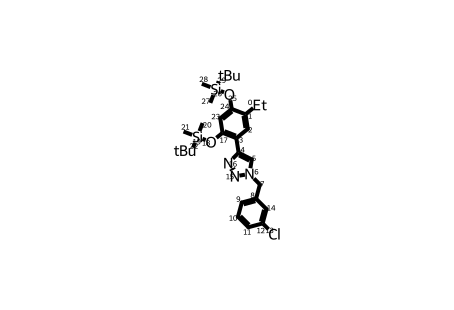 CCc1cc(-c2cn(Cc3cccc(Cl)c3)nn2)c(O[Si](C)(C)C(C)(C)C)cc1O[Si](C)(C)C(C)(C)C